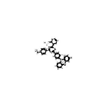 CC1CC=CC=C1c1nc(-c2ccc(C=O)cc2)nc(-c2ccc(N3c4ccccc4Oc4ccccc43)cc2)n1